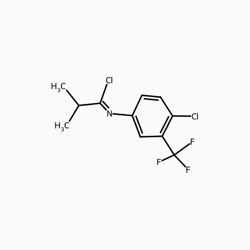 CC(C)C(Cl)=Nc1ccc(Cl)c(C(F)(F)F)c1